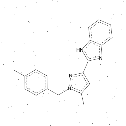 Cc1ccc(Cn2nc(-c3nc4ccccc4[nH]3)cc2C)cc1